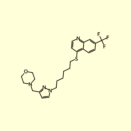 FC(F)(F)c1ccc2c(SCCCCCCn3ccc(CN4CCOCC4)n3)ccnc2c1